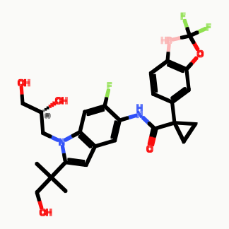 CC(C)(CO)c1cc2cc(NC(=O)C3(c4ccc5c(c4)OC(F)(F)B5)CC3)c(F)cc2n1C[C@@H](O)CO